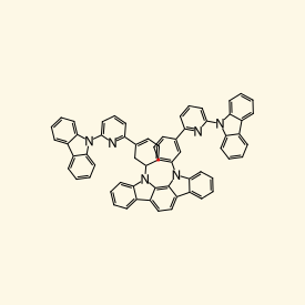 C1=CC(n2c3ccccc3c3ccc4c5ccccc5n(-c5cccc(-c6cccc(-n7c8ccccc8c8ccccc87)n6)c5)c4c32)CC(c2cccc(-n3c4ccccc4c4ccccc43)n2)=C1